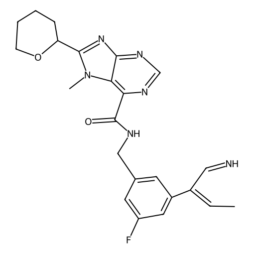 C/C=C(\C=N)c1cc(F)cc(CNC(=O)c2ncnc3nc(C4CCCCO4)n(C)c23)c1